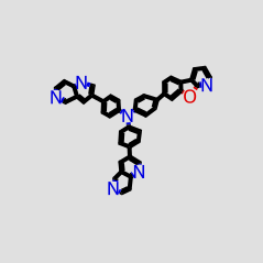 c1cnc2oc3cc(-c4ccc(N(c5ccc(-c6cnc7ccncc7c6)cc5)c5ccc(-c6cnc7ccncc7c6)cc5)cc4)ccc3c2c1